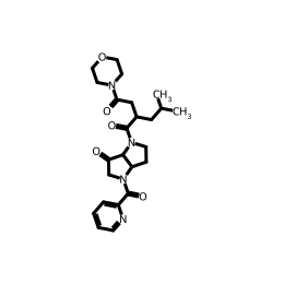 CC(C)CC(CC(=O)N1CCOCC1)C(=O)N1CCC2C1C(=O)CN2C(=O)c1ccccn1